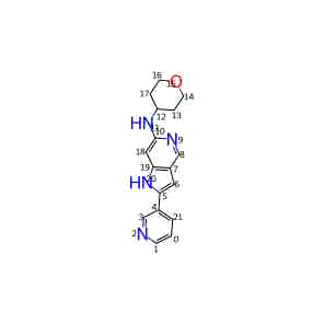 c1cncc(-c2cc3cnc(NC4CCOCC4)cc3[nH]2)c1